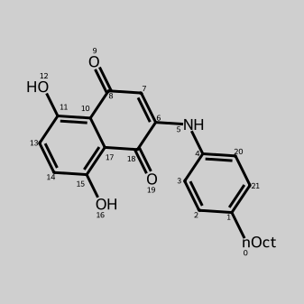 CCCCCCCCc1ccc(NC2=CC(=O)c3c(O)ccc(O)c3C2=O)cc1